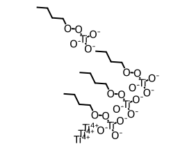 CCCCO[O][Ti]([O-])([O-])[O-].CCCCO[O][Ti]([O-])([O-])[O-].CCCCO[O][Ti]([O-])([O-])[O-].CCCCO[O][Ti]([O-])([O-])[O-].[Ti+4].[Ti+4].[Ti+4]